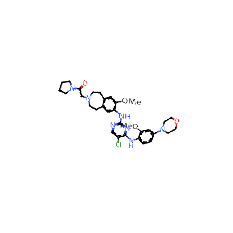 COc1cc2c(cc1Nc1ncc(Cl)c(Nc3ccc(N4CCOCC4)cc3OC)n1)CCN(CC(=O)N1CCCC1)CC2